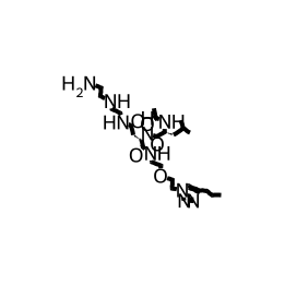 CCCc1cn(CCOCCNC(=O)[C@H](CC(=O)NCCNCCN)NC(=O)[C@@H](CC(C)C)NC(C)=O)nn1